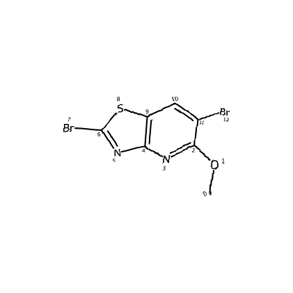 COc1nc2nc(Br)sc2cc1Br